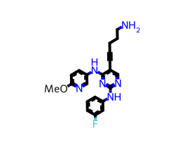 COc1ccc(Nc2nc(Nc3cccc(F)c3)ncc2C#CCCCN)cn1